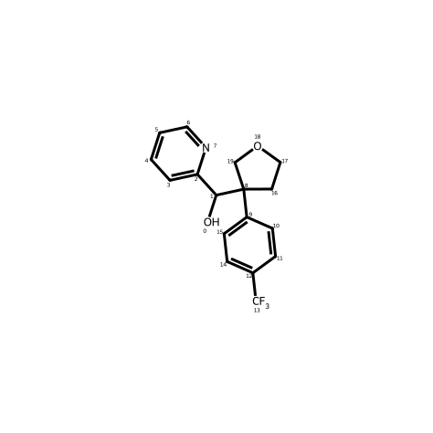 OC(c1ccccn1)C1(c2ccc(C(F)(F)F)cc2)CCOC1